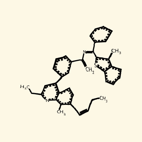 C=C(/N=C(/c1ccccc1)c1sc2ccccc2c1C)c1cccc(-c2cc(CC)nc3c(C)c(/C=C\CC)ccc23)c1